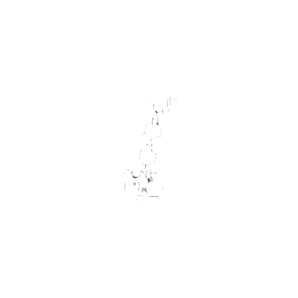 CC(C)OC(=O)N1CCC(N2CCC(N3C(=O)N[C@@H]4CCCC[C@@H]43)CC2)CC1